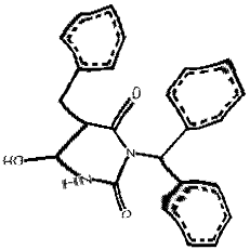 O=C1NC(O)C(Cc2ccccc2)C(=O)N1C(c1ccccc1)c1ccccc1